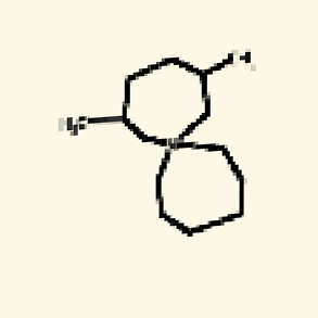 CC1CCC(C)C[N+]2(CCCCCC2)C1